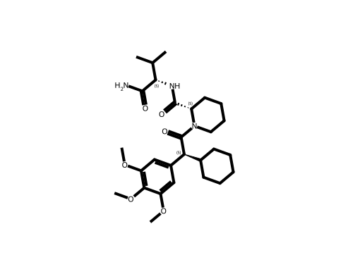 COc1cc([C@@H](C(=O)N2CCCC[C@H]2C(=O)N[C@H](C(N)=O)C(C)C)C2CCCCC2)cc(OC)c1OC